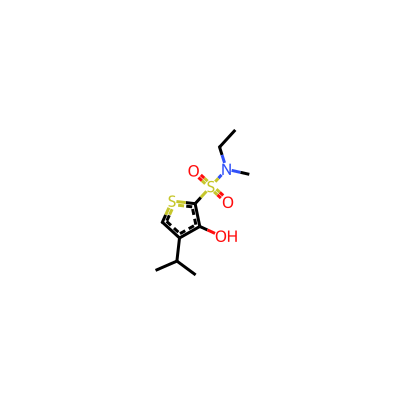 CCN(C)S(=O)(=O)c1scc(C(C)C)c1O